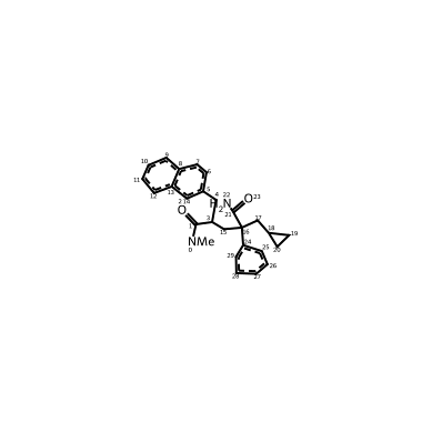 CNC(=O)C(Cc1ccc2ccccc2c1)CC(CC1CC1)(C(N)=O)c1ccccc1